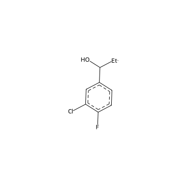 C[CH]C(O)c1ccc(F)c(Cl)c1